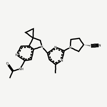 CC(=O)Nc1cc2c(cn1)C1(CC1)CN2c1cc(C)nc(N2CC[C@H](C#N)C2)n1